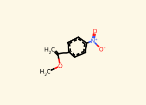 C=C(OC)c1ccc([N+](=O)[O-])cc1